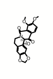 COc1ccc2c(c1OC)C(=O)N1CCc3cc4c(cc3[C@]1(O)C2=O)OCO4